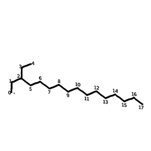 [CH2]CC(CC)CCCCCCCCCCCCC